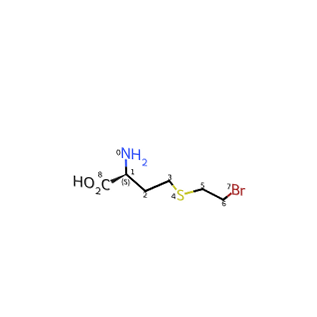 N[C@@H](CCSCCBr)C(=O)O